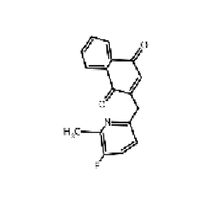 Cc1nc(CC2=CC(=O)c3ccccc3C2=O)ccc1F